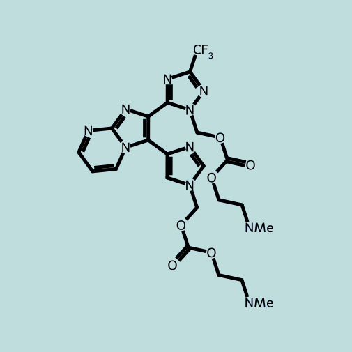 CNCCOC(=O)OCn1cnc(-c2c(-c3nc(C(F)(F)F)nn3COC(=O)OCCNC)nc3ncccn23)c1